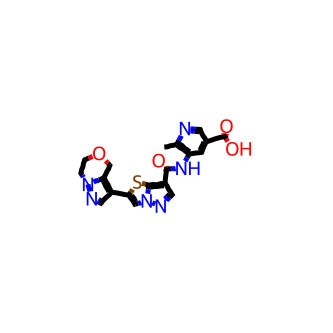 Cc1ncc(C(=O)O)cc1NC(=O)c1cnn2cc(-c3cnn4c3COCC4)sc12